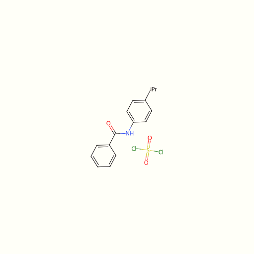 CC(C)c1ccc(NC(=O)c2ccccc2)cc1.O=S(=O)(Cl)Cl